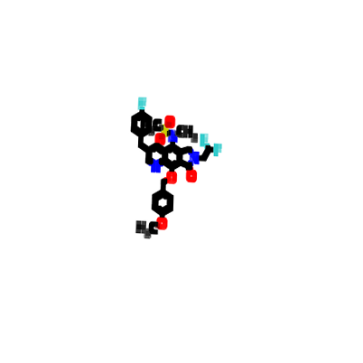 COc1ccc(COc2c3c(c(N(C)S(C)(=O)=O)c4cc(Cc5ccc(F)cc5)cnc24)CN(CC(F)F)C3=O)cc1